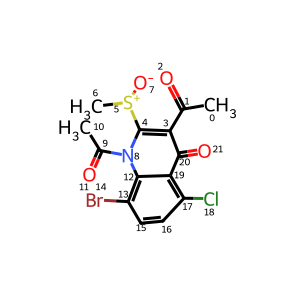 CC(=O)c1c([S+](C)[O-])n(C(C)=O)c2c(Br)ccc(Cl)c2c1=O